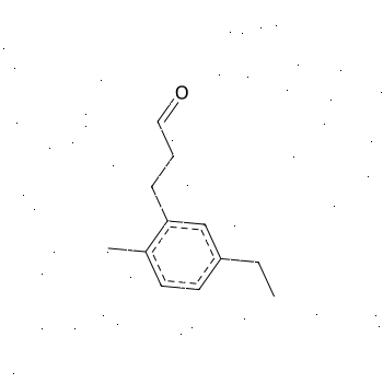 CCc1ccc(C)c(CCC=O)c1